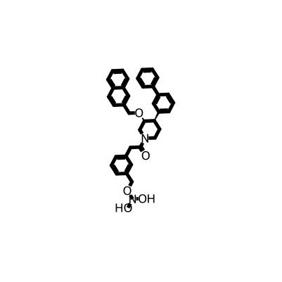 O=C(Cc1cccc(CON(O)O)c1)N1CC[C@H](c2cccc(-c3ccccc3)c2)[C@@H](OCc2ccc3ccccc3c2)C1